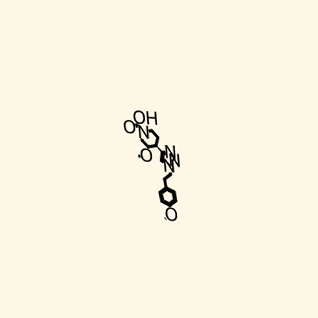 COc1ccc(CCn2cc([C@@H]3CCN(C(=O)O)C[C@H]3OC)nn2)cc1